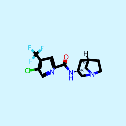 O=C(N[C@@H]1C[C@@H]2CCN(C2)C1)c1cc(C(F)(F)F)c(Cl)cn1